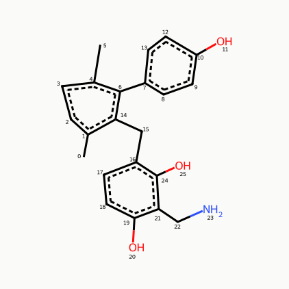 Cc1ccc(C)c(-c2ccc(O)cc2)c1Cc1ccc(O)c(CN)c1O